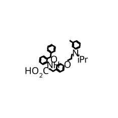 Cc1cccc(N(CCCOc2ccc(CC(Nc3ccccc3C(=O)c3ccccc3)C(=O)O)cc2)CC(C)C)c1